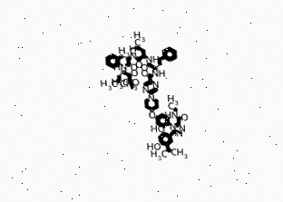 CCNC(=O)c1nnc(-c2cc(C(C)C)c(O)cc2O)n1-c1ccc(OC2CCN(c3cnc(C(=O)N[C@@H](CCc4ccccc4)C(=O)NC(CC(C)C)C(=O)N[C@@H](Cc4ccccc4)C(=O)N[C@@H](CC(C)C)C(=O)[C@@]4(C)CO4)cn3)CC2)cc1